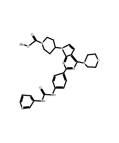 CC(C)(C)OC(=O)N1CCC(n2ccc3c(N4CCOCC4)nc(-c4ccc(NC(=O)Nc5cccnc5)cc4)nc32)CC1